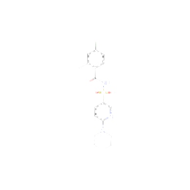 O=C(NS(=O)(=O)c1ccc(N2CCSCC2)nc1)c1ccc(Cl)cc1Cl